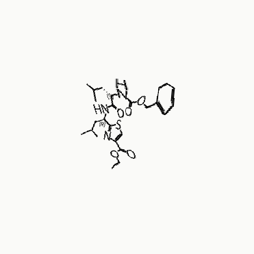 CCOC(=O)c1csc([C@@H](CC(C)C)NC(=O)[C@H](CC(C)C)NC(=O)OCc2ccccc2)n1